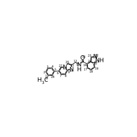 Cc1cccc(-c2ccc3nc(CNC(=O)c4cccc5[nH]ncc45)cn3c2)c1